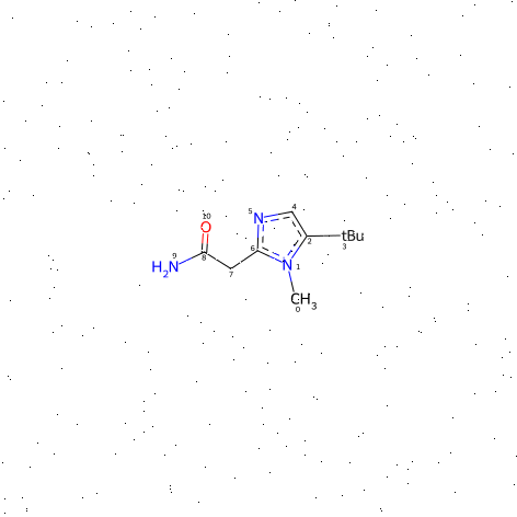 Cn1c(C(C)(C)C)cnc1CC(N)=O